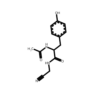 CC(=O)NC(Cc1ccc(O)cc1)C(=O)NCC#N